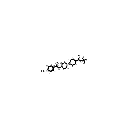 CC(C)(C)OC(=O)C1CCN(N2CCN(CC(=O)c3ccc(O)cc3)CC2)CC1